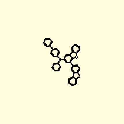 c1ccc(-c2ccc(N(c3ccccc3)c3cc(-c4ccc5sc6ccccc6c5c4)c4oc5ccccc5c4c3)cc2)cc1